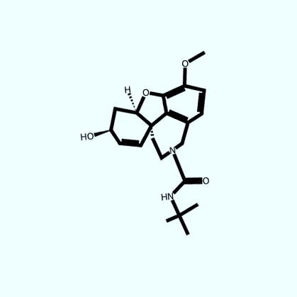 COc1ccc2c3c1O[C@@H]1C[C@H](O)C=C[C@]31CCN(C(=O)NC(C)(C)C)C2